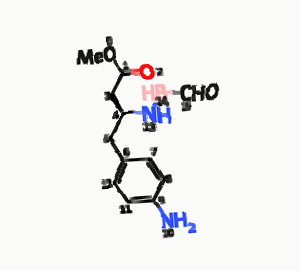 COC(=O)C[C@H](Cc1ccc(N)cc1)NBC=O